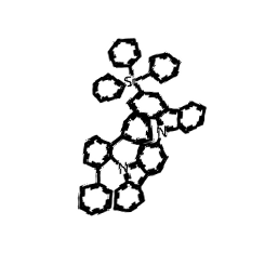 c1ccc(-c2cccc(-c3ccccc3)c2-n2c3ccccc3c3ccc(-n4c5ccccc5c5cc([Si](c6ccccc6)(c6ccccc6)c6ccccc6)ccc54)cc32)cc1